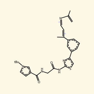 C=C(C)/N=C\C=C(/C)c1cccc(-c2csc(NC(=O)CNC(=O)c3ccn(C(C)(C)C)c3)n2)c1